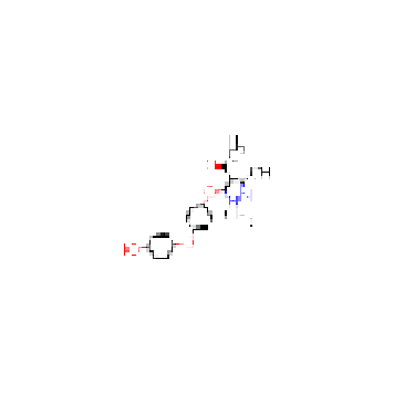 CC(=O)c1c(C)nn(C)c1Oc1ccc(Oc2ccc(O)cc2)cc1